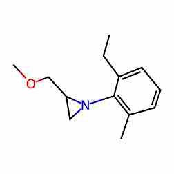 CCc1cccc(C)c1N1CC1COC